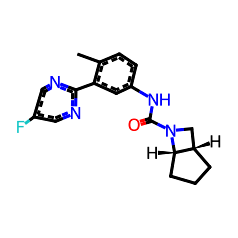 Cc1ccc(NC(=O)N2C[C@@H]3CCC[C@@H]32)cc1-c1ncc(F)cn1